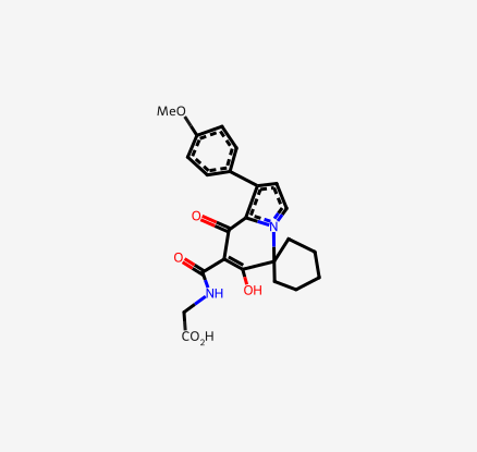 COc1ccc(-c2ccn3c2C(=O)C(C(=O)NCC(=O)O)=C(O)C32CCCCC2)cc1